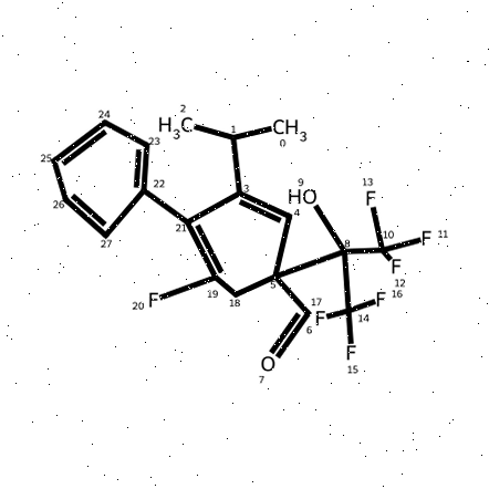 CC(C)C1=CC(C=O)(C(O)(C(F)(F)F)C(F)(F)F)CC(F)=C1c1ccccc1